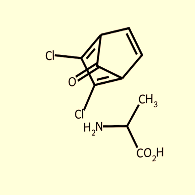 CC(N)C(=O)O.O=C1C2=C(Cl)C(Cl)=C1C=C2